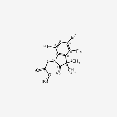 CC(C)(C)OC(=O)CN1C(=O)C(C)(C)c2c(F)c(Br)cc(F)c21